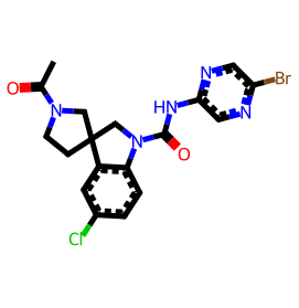 CC(=O)N1CCC2(C1)CN(C(=O)Nc1cnc(Br)cn1)c1ccc(Cl)cc12